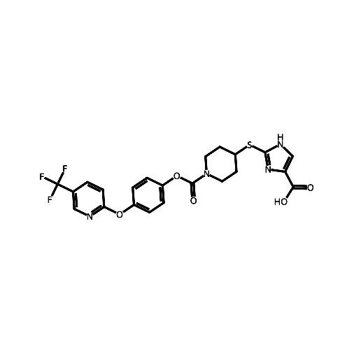 O=C(O)c1c[nH]c(SC2CCN(C(=O)Oc3ccc(Oc4ccc(C(F)(F)F)cn4)cc3)CC2)n1